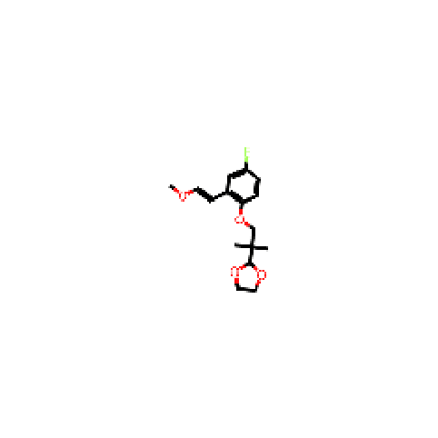 CO/C=C/c1cc(F)ccc1OCC(C)(C)C1OCCO1